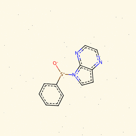 [O-][S+](c1ccccc1)n1ccc2nccnc21